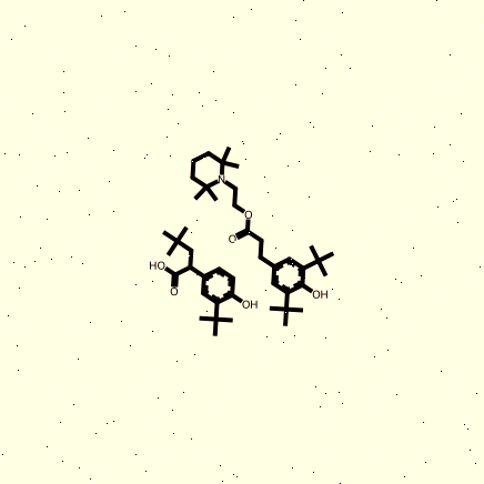 CC(C)(C)CC(C(=O)O)c1ccc(O)c(C(C)(C)C)c1.CC(C)(C)c1cc(CCC(=O)OCCN2C(C)(C)CCCC2(C)C)cc(C(C)(C)C)c1O